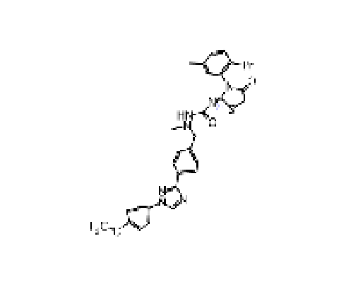 Cc1ccc(C(C)C)c(N2C(=O)CS/C2=N\C(=O)NN(C)Cc2ccc(-c3ncn(-c4ccc(OC(F)(F)F)cc4)n3)cc2)c1